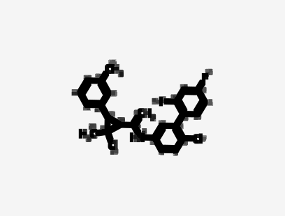 C=C(Nc1ccc(Cl)c(-c2ccc(F)cc2F)c1)C1C(c2cccc(C)c2)C1(C)Cl